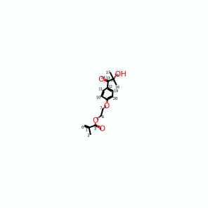 C=C(C)C(=O)OCCOc1ccc(C(=O)C(C)(C)O)cc1